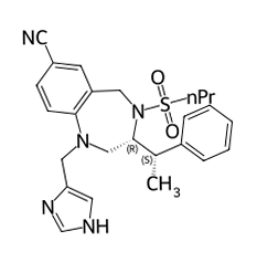 CCCS(=O)(=O)N1Cc2cc(C#N)ccc2N(Cc2c[nH]cn2)C[C@H]1[C@@H](C)c1ccccc1